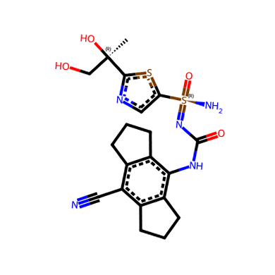 C[C@@](O)(CO)c1ncc([S@](N)(=O)=NC(=O)Nc2c3c(c(C#N)c4c2CCC4)CCC3)s1